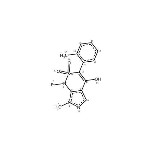 CCN1c2c(cnn2C)C(O)=C(c2ccccc2C)S1(=O)=O